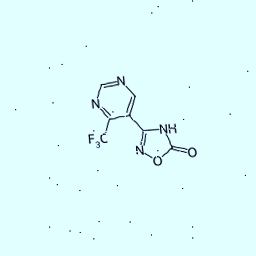 O=c1[nH]c(-c2cncnc2C(F)(F)F)no1